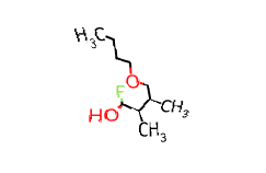 CCCCOC[C@@H](C)C(C)[C@@H](O)F